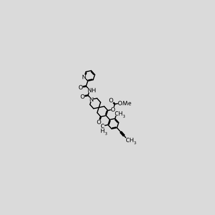 CC#Cc1cc(C)c(C2=C(OC(=O)OC)CC3(CCN(C(=O)NC(=O)c4ccccn4)CC3)CC2=O)c(C)c1